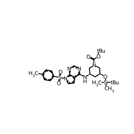 Cc1ccc(S(=O)(=O)n2ccc3c(N[C@@H]4C[C@H](O[Si](C)(C)C(C)(C)C)CN(C(=O)OC(C)(C)C)C4)ncnc32)cc1